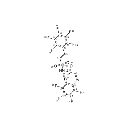 O=S(=O)(/C=C\c1c(F)c(F)c(F)c(F)c1F)NS(=O)(=O)/C=C/c1c(F)c(F)c(F)c(F)c1F